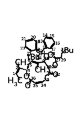 C/C=C(/C)[C@H]1C/C=C(\C)[C@@H](O[Si](c2ccccc2)(c2ccccc2)C(C)(C)C)[C@H](OC(=O)CC(C)(C)C)C(=O)CC=CC(=O)O1